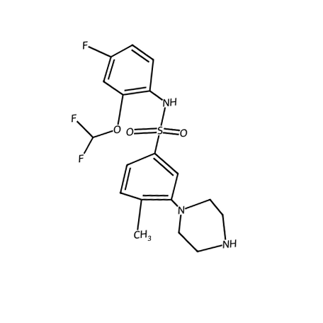 Cc1ccc(S(=O)(=O)Nc2ccc(F)cc2OC(F)F)cc1N1CCNCC1